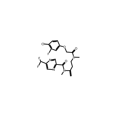 C=C(CCN(C)C(=O)COc1ccc(Cl)c(F)c1)N(C)C(=O)c1cnc(C(F)F)cn1